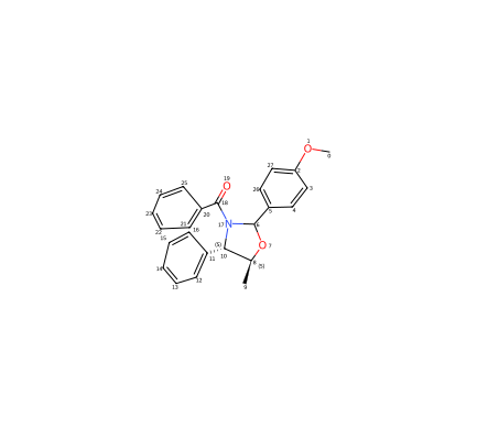 COc1ccc(C2O[C@@H](C)[C@H](c3ccccc3)N2C(=O)c2ccccc2)cc1